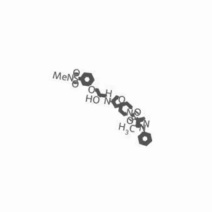 CNS(=O)(=O)c1cccc(OCC(O)CN[C@@H]2COC3(CCN(S(=O)(=O)c4cnn(-c5ccccc5)c4C)CC3)C2)c1